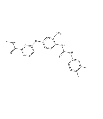 CNC(=O)c1cc(Oc2ccc(NC(=S)Nc3ccc(I)c(C)c3)c(N)c2)ccn1